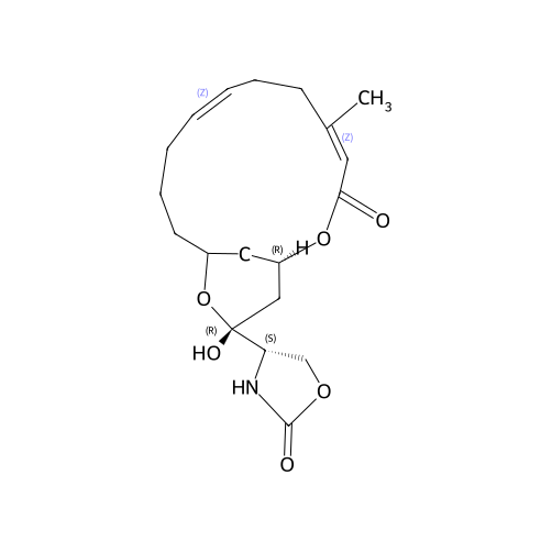 C/C1=C/C(=O)O[C@@H]2CC(CCC/C=C\CC1)O[C@@](O)([C@@H]1COC(=O)N1)C2